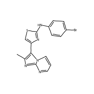 Cc1nc2ncccn2c1-c1csc(Nc2ccc(Br)cc2)n1